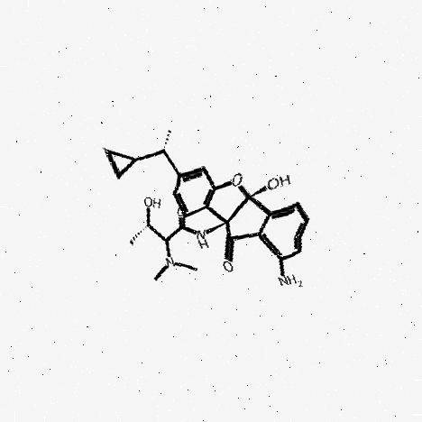 C[C@H](O)C(C(=O)N[C@]12C(=O)c3c(N)cccc3[C@@]1(O)Oc1cc([C@@H](C)C3CC3)ccc12)N(C)C